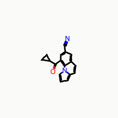 N#Cc1cc(C(=O)C2CC2)c2c(ccc3cccn32)c1